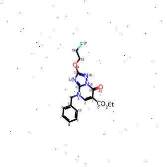 CCOC(=O)c1cn(Cc2ccccc2)c2nc(OCCF)nn2c1=O